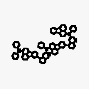 c1ccc(N(c2cnc3cccc(-c4ccc5c(c4)-c4cccc6c(N(c7ccccc7)c7cc8c(-c9ccc%10c(c9)-c9cccc%11c(N(c%12ccccc%12)c%12ccccc%12)ccc-%10c9%11)cccc8cn7)ccc-5c46)c3c2)c2ccc3c4c(cccc24)-c2ccccc2-3)cc1